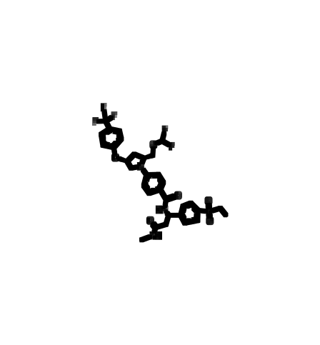 CCS(=O)(=O)c1ccc(C(CC(=O)NC)NC(=O)c2ccc(N3C[C@@H](Oc4ccc(C(F)(F)F)cc4)C[C@H]3COC(F)F)cc2)cc1